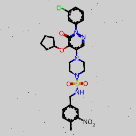 Cc1ccc(CNS(=O)(=O)N2CCN(c3cnn(-c4cccc(Cl)c4)c(=O)c3OC3CCCC3)CC2)cc1[N+](=O)[O-]